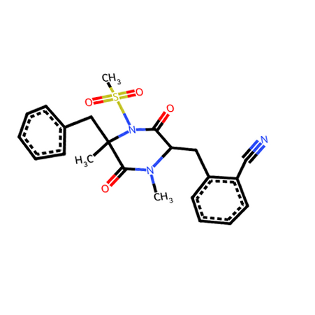 CN1C(=O)C(C)(Cc2ccccc2)N(S(C)(=O)=O)C(=O)C1Cc1ccccc1C#N